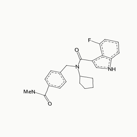 CNC(=O)c1ccc(CN(C(=O)c2c[nH]c3cccc(F)c23)C2CCCC2)cc1